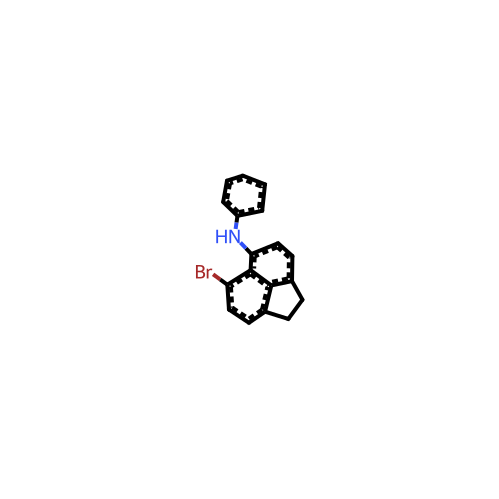 Brc1ccc2c3c(ccc(Nc4ccccc4)c13)CC2